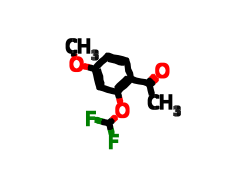 COc1ccc(C(C)=O)c(OC(F)F)c1